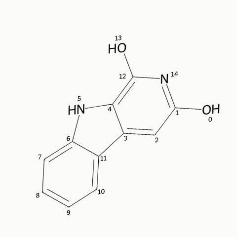 Oc1cc2c([nH]c3ccccc32)c(O)n1